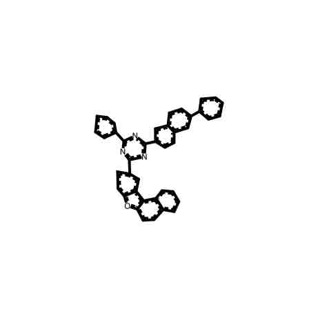 c1ccc(-c2ccc3cc(-c4nc(-c5ccccc5)nc(-c5ccc6oc7ccc8ccccc8c7c6c5)n4)ccc3c2)cc1